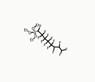 CC[O][Zr]([O]CC)([O]CC)[CH](F)C(F)(F)C(F)(F)C(F)(F)C(F)(F)C(F)C(F)C(F)F